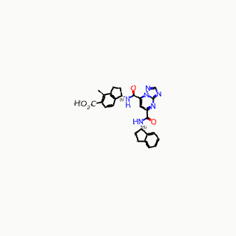 Cc1c(C(=O)O)ccc2c1CC[C@@H]2NC(=O)c1cc(C(=O)N[C@H]2CCc3ccccc32)nc2ncnn12